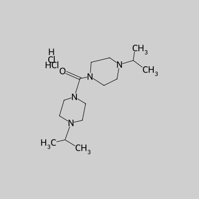 CC(C)N1CCN(C(=O)N2CCN(C(C)C)CC2)CC1.Cl.Cl